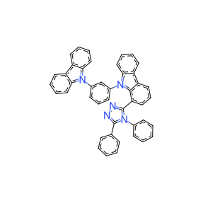 c1ccc(-c2nnc(-c3cccc4c5ccccc5n(-c5cccc(-n6c7ccccc7c7ccccc76)c5)c34)n2-c2ccccc2)cc1